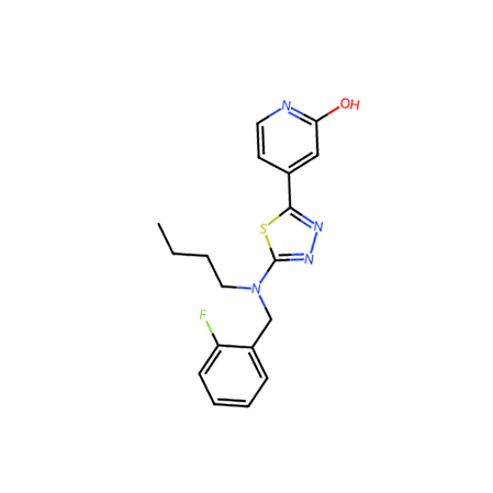 CCCCN(Cc1ccccc1F)c1nnc(-c2ccnc(O)c2)s1